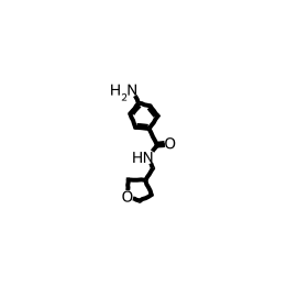 Nc1ccc(C(=O)NCC2CCOC2)cc1